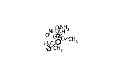 CCCOc1ccc(C(C)(C)c2cccs2)cc1S(=O)(=O)CNC(N)=O.NC=O